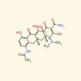 CC(=O)Nc1ccc(O)c2c1C[C@H]1C[C@H]3[C@H](N(C)C)C(O)=C(C(N)=O)C(=O)[C@@]3(O)C(O)=C1C2=O